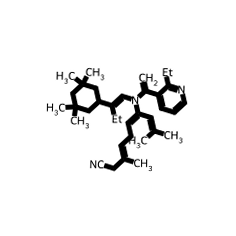 C=C(c1cccnc1CC)N(/C=C(\CC)C1CC(C)(C)CC(C)(C)C1)/C(C=C(C)C)=C/C/C=C(\C)CC#N